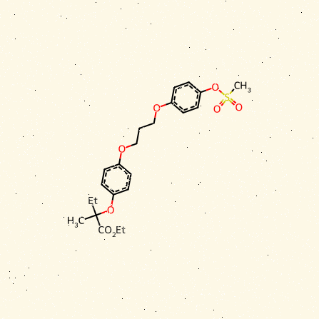 CCOC(=O)C(C)(CC)Oc1ccc(OCCCOc2ccc(OS(C)(=O)=O)cc2)cc1